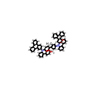 Cc1cc(N(c2ccc3c4ccccc4c4ccccc4c3c2)c2ccccc2-c2ccccc2)ccc1-c1ccc(N(c2ccc3c4ccccc4c4ccccc4c3c2)c2ccccc2-c2ccccc2)cc1C